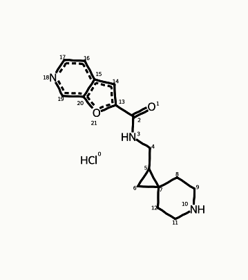 Cl.O=C(NCC1CC12CCNCC2)c1cc2ccncc2o1